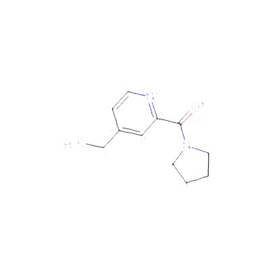 CCc1ccnc(C(=O)N2CCCC2)c1